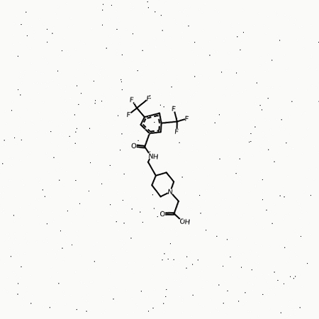 O=C(O)CN1CCC(CNC(=O)c2cc(C(F)(F)F)cc(C(F)(F)F)c2)CC1